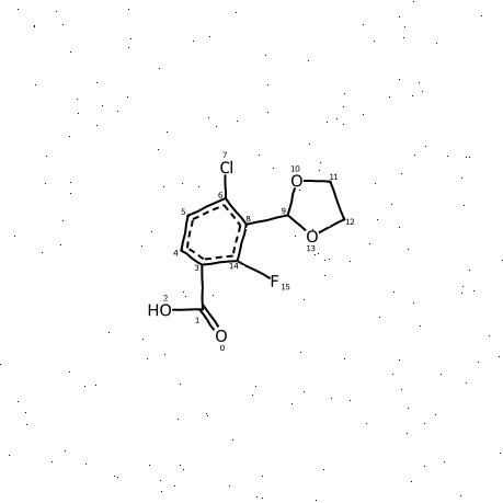 O=C(O)c1ccc(Cl)c(C2OCCO2)c1F